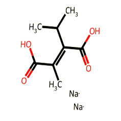 CC(C(=O)O)=C(C(=O)O)C(C)C.[Na].[Na]